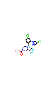 O=C(O)N1CCN(Cc2ccc(Cl)cc2-n2cc(Cl)cn2)C(C(C(F)(F)F)C(F)(F)F)C1